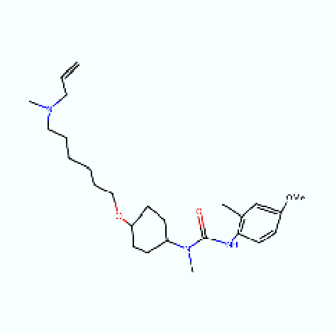 C=CCN(C)CCCCCCOC1CCC(N(C)C(=O)Nc2ccc(OC)cc2C)CC1